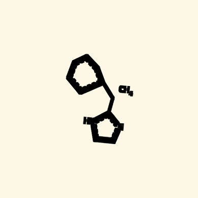 C.c1ccc(Cc2ncc[nH]2)cc1